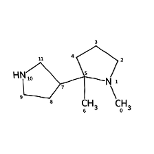 CN1CCCC1(C)C1CCNC1